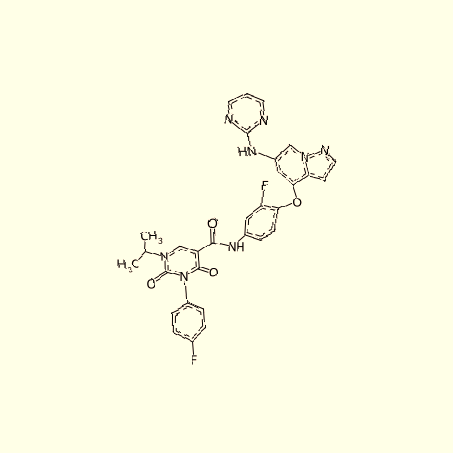 CC(C)n1cc(C(=O)Nc2ccc(Oc3cc(Nc4ncccn4)cn4nccc34)c(F)c2)c(=O)n(-c2ccc(F)cc2)c1=O